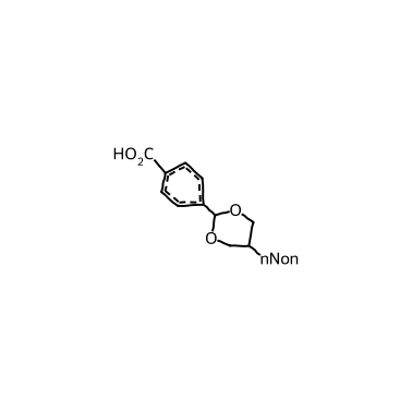 CCCCCCCCCC1COC(c2ccc(C(=O)O)cc2)OC1